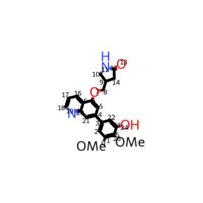 COc1cc(-c2cc(OCC3CNC(=O)C3)c3cccnc3c2)cc(O)c1OC